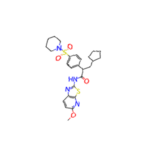 COc1ccc2nc(NC(=O)C(CC3CCCC3)c3ccc(S(=O)(=O)N4CCCCC4)cc3)sc2n1